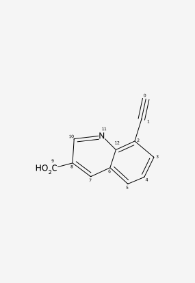 C#Cc1cccc2cc(C(=O)O)cnc12